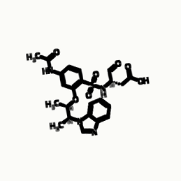 CC(=O)Nc1ccc(S(=O)(=O)N[C@H](C=O)CC(=O)O)c(O[C@H](C)[C@H](C)n2cnc3ccccc32)c1